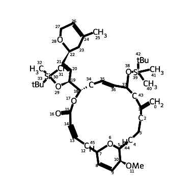 C=C1CCC[C@H]2O[C@@H](C=C[C@@H]2OC)CC#CC(=O)O[C@H]([C@H](/C=C/[C@@H]2CC(C)=CCO2)O[Si](C)(C)C(C)(C)C)C/C=C/C(O[Si](C)(C)C(C)(C)C)C1